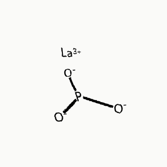 [La+3].[O-]P([O-])[O-]